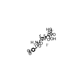 CSc1c2sc(C3=C(C(=O)O)N4C(=O)[C@H]([C@@H](C)O)[C@H]4[C@H]3C)c[n+]2cn1CC(=O)N(N)C(=O)OCc1ccc([N+](=O)[O-])cc1.[I-]